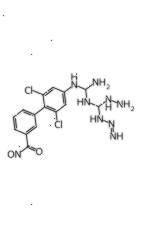 N=NNC(NN)NC(N)Nc1cc(Cl)c(-c2cccc(C(=O)N=O)c2)c(Cl)c1